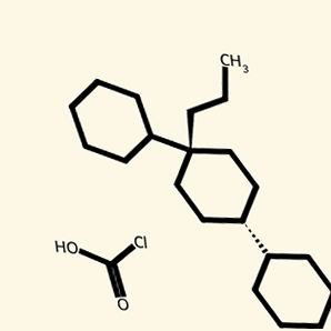 CCC[C@]1(C2CCCCC2)CC[C@@H](C2CCCCC2)CC1.O=C(O)Cl